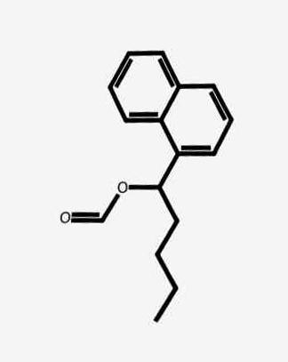 CCCCC(OC=O)c1cccc2ccccc12